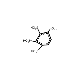 CCCCCCCCc1ccc(S(=O)(=O)O)c(S(=O)(=O)O)c1S(=O)(=O)O